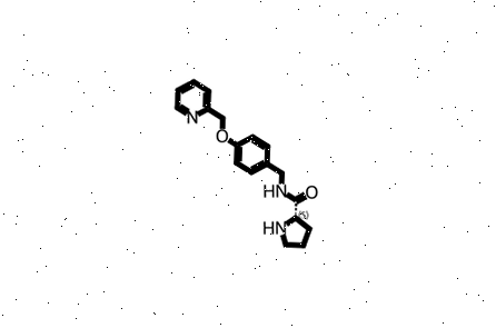 O=C(NCc1ccc(OCc2ccccn2)cc1)[C@@H]1CCCN1